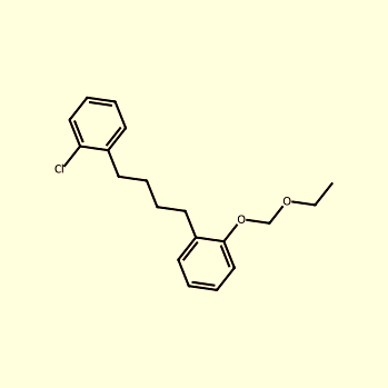 CCOCOc1ccccc1CCCCc1ccccc1Cl